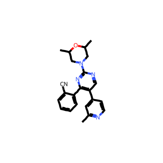 Cc1cc(-c2cnc(N3CC(C)OC(C)C3)nc2-c2ccccc2C#N)ccn1